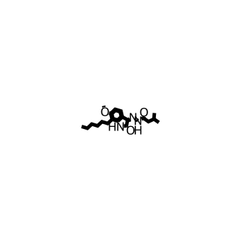 CCCCCCc1c(OC)ccc2c1NC(=O)/C2=N\NC(=O)CC(C)C